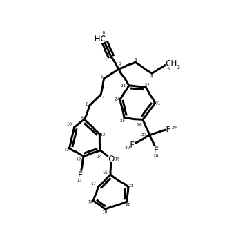 C#CC(CCC)(CCCc1ccc(F)c(Oc2ccccc2)c1)c1ccc(C(F)(F)F)cc1